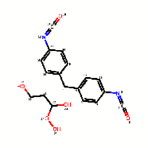 O=C=Nc1ccc(Cc2ccc(N=C=O)cc2)cc1.OCCC(O)OO